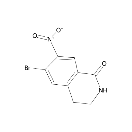 O=C1NCCc2cc(Br)c([N+](=O)[O-])cc21